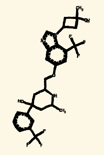 CC1CC(O)(c2cccc(C(F)(F)F)c2)CC(COc2cc(C(F)(F)F)c3c(c2)ncn3C2CC(C)(O)C2)N1